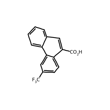 O=C(O)c1cc2ccccc2c2cc(C(F)(F)F)ccc12